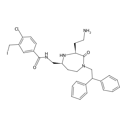 NCC[C@@H]1N[C@H](CNC(=O)c2ccc(Cl)c(CI)c2)CCN(CC(c2ccccc2)c2ccccc2)C1=O